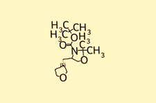 CC(C)(C)OC(=O)N1C(C[C@H]2CCOC2)COC1(C)C